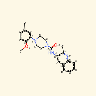 COc1ccc(C)cc1N1CCN(C(=O)Nc2cc3ccccc3nc2C)CC1